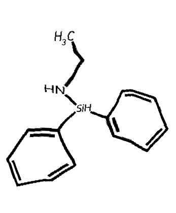 CCN[SiH](c1ccccc1)c1ccccc1